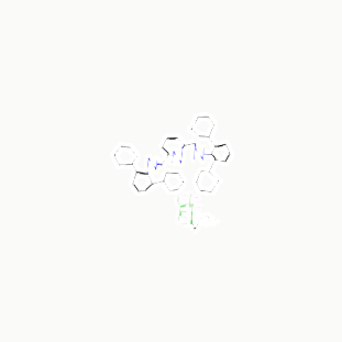 C(=Nc1c(C2CCCCC2)cccc1C1CCCCC1)c1cccc(C=Nc2c(C3CCCCC3)cccc2C2CCCCC2)n1.[Cl-].[Cl-].[Cl-].[V+3]